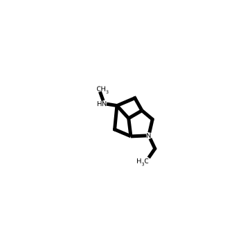 CCN1CC2CC3(NC)CC1C23